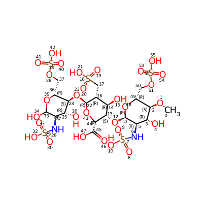 CO[C@H]1[C@H](O)[C@@H](NS(=O)(=O)O)[C@@H](O[C@H]2[C@H](O)[C@@H](CS(=O)(=O)O)[C@H](O[C@H]3[C@H](O)[C@@H](NS(=O)(=O)O)C(O)O[C@@H]3COS(=O)(=O)O)O[C@H]2C(=O)O)O[C@@H]1COS(=O)(=O)O